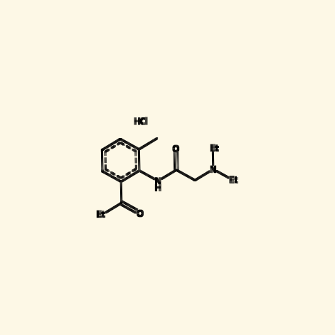 CCC(=O)c1cccc(C)c1NC(=O)CN(CC)CC.Cl